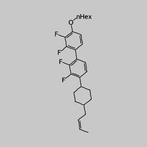 C/C=C\CC1CCC(c2ccc(-c3ccc(OCCCCCC)c(F)c3F)c(F)c2F)CC1